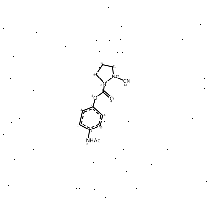 CC(=O)Nc1ccc(OC(=O)N2CCCN2C#N)cc1